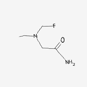 CN(CF)CC(N)=O